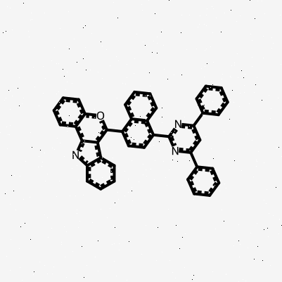 c1ccc(-c2cc(-c3ccccc3)nc(-c3ccc(-c4oc5ccccc5c5nc6ccccc6c4-5)c4ccccc34)n2)cc1